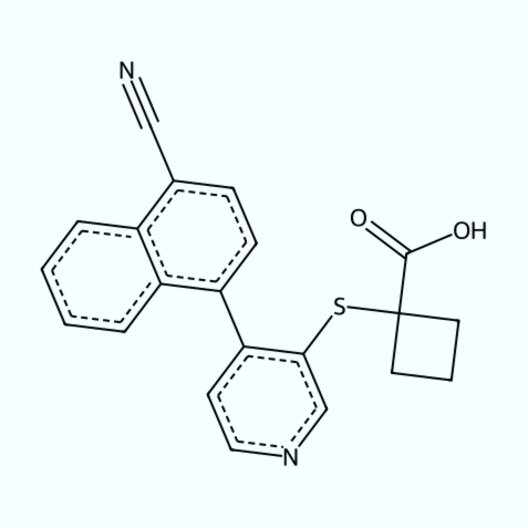 N#Cc1ccc(-c2ccncc2SC2(C(=O)O)CCC2)c2ccccc12